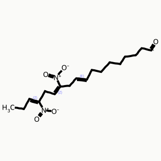 CC/C=C(/C/C=C(/C/C=C/CCCCCCC[C]=O)[N+](=O)[O-])[N+](=O)[O-]